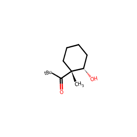 CC(C)(C)C(=O)[C@]1(C)CCCC[C@@H]1O